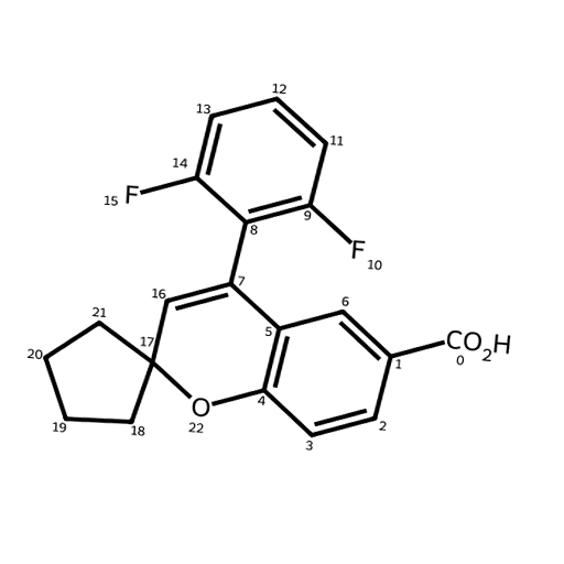 O=C(O)c1ccc2c(c1)C(c1c(F)cccc1F)=CC1(CCCC1)O2